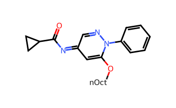 CCCCCCCCOc1cc(=NC(=O)C2CC2)cnn1-c1ccccc1